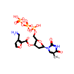 Cc1cn([C@H]2C[C@@H](OC(=O)c3occc3CN)C(COP(=O)(O)OP(=O)(O)OP(=O)(O)O)O2)c(=O)[nH]c1=O